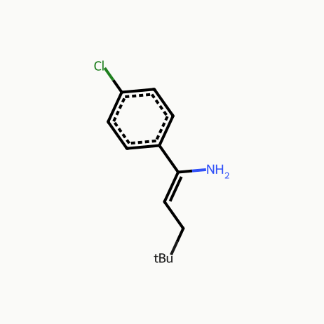 CC(C)(C)C/C=C(\N)c1ccc(Cl)cc1